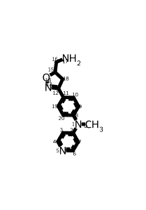 CN(c1ccncc1)c1ccc(C2=NOC(CN)C2)cc1